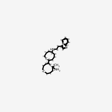 CC1(N)CCCCCCCC(C2CCCCC(NCCc3cnc4ccccn34)CCC2)C1